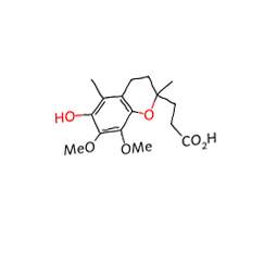 COc1c(O)c(C)c2c(c1OC)OC(C)(CCC(=O)O)CC2